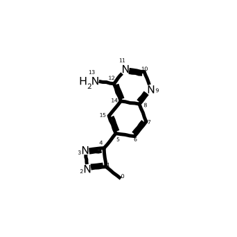 CC1=NN=C1c1ccc2ncnc(N)c2c1